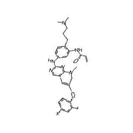 C=CC(=O)Nc1cc(Nc2ncc3c(n2)N(C)CC(Oc2ccc(F)cc2F)=C3)ccc1CCCN(C)C